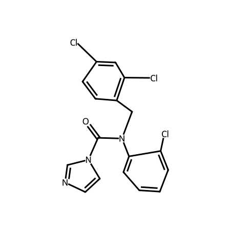 O=C(N(Cc1ccc(Cl)cc1Cl)c1ccccc1Cl)n1ccnc1